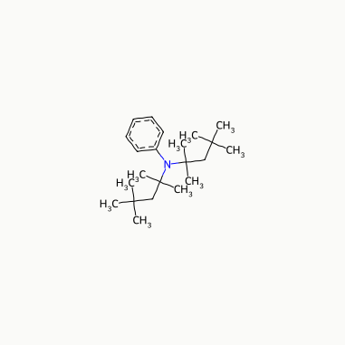 CC(C)(C)CC(C)(C)N(c1ccccc1)C(C)(C)CC(C)(C)C